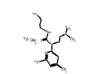 Cc1cc(C)nc(N(CCN(C)C)C(=O)NCCO)c1.O.O